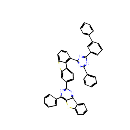 c1ccc(-c2cccc(-c3nc(-c4ccccc4)nc(-c4cccc5sc6cc(-c7nc(-c8ccccc8)c8sc9ccccc9c8n7)ccc6c45)n3)c2)cc1